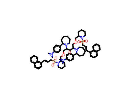 CN(C)c1ccc(C2CCCCCN2C(COCC2CCCCN2S(=O)(=O)CC=Cc2cccc3ccccc23)C(=O)C(COCC2CCCCN2S(=O)(=O)CC=Cc2cccc3ccccc23)N2CCCCCC2c2ccc(N(C)C)cc2)cc1